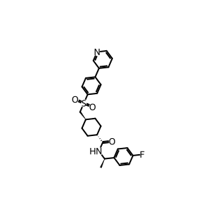 C[C@@H](NC(=O)[C@H]1CC[C@H](CS(=O)(=O)c2ccc(-c3cccnc3)cc2)CC1)c1ccc(F)cc1